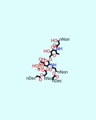 CCCCCCCCCCCC(=O)O[C@H](CCCCCCCCC)CC(=O)N[C@H]1C(OC(=O)C[C@@H](CCCCCCCCC)OC(=O)CCCCCCCCCCC)[C@H](OP(=O)(O)O)C(CO)O[C@H]1OCC1OC(C)C(NC(=O)C[C@H](O)CCCCCCCCC)[C@@H](O)[C@@H]1O